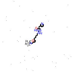 CN(C)Cc1ccc(CCCCCNc2ncc(Cc3cccnc3)c(=O)[nH]2)o1